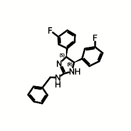 Fc1cccc([C@H]2NC(NCc3ccccc3)=N[C@H]2c2cccc(F)c2)c1